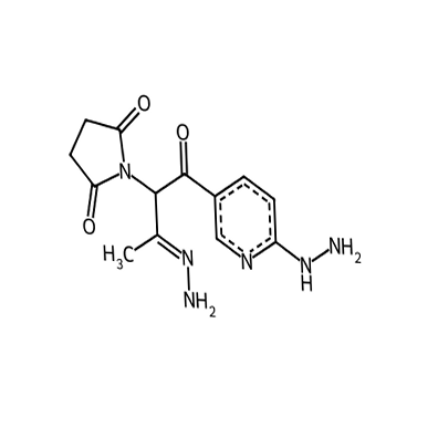 CC(=NN)C(C(=O)c1ccc(NN)nc1)N1C(=O)CCC1=O